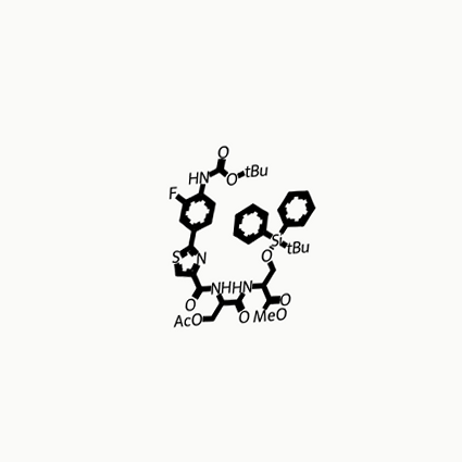 COC(=O)C(CO[Si](c1ccccc1)(c1ccccc1)C(C)(C)C)NC(=O)C(COC(C)=O)NC(=O)c1csc(-c2ccc(NC(=O)OC(C)(C)C)c(F)c2)n1